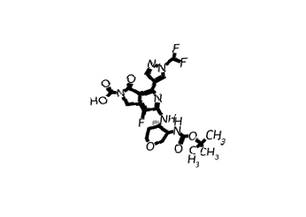 CC(C)(C)OC(=O)NC1COCC[C@H]1Nc1nc(-c2cnn(C(F)F)c2)c2c(c1F)CN(C(=O)O)C2=O